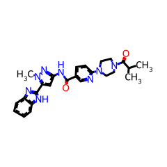 CC(C)C(=O)N1CCN(c2ccc(C(=O)Nc3cc(-c4nc5ccccc5[nH]4)n(C)n3)cn2)CC1